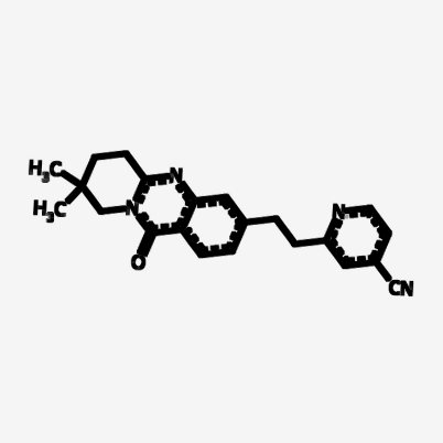 CC1(C)CCc2nc3cc(CCc4cc(C#N)ccn4)ccc3c(=O)n2C1